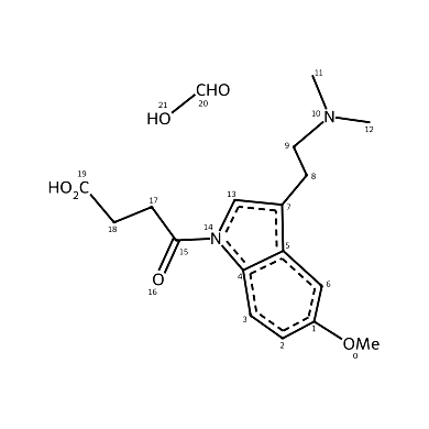 COc1ccc2c(c1)c(CCN(C)C)cn2C(=O)CCC(=O)O.O=CO